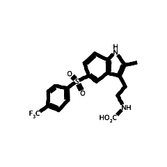 Cc1[nH]c2ccc(S(=O)(=O)c3ccc(C(F)(F)F)cc3)cc2c1CCNC(=O)O